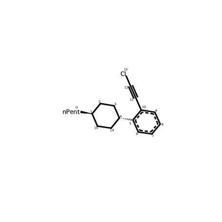 CCCCC[C@H]1CC[C@H](c2ccccc2C#CCl)CC1